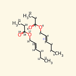 CCC/C=C/COC(=O)CC.CCCC=CCOC(=O)CC